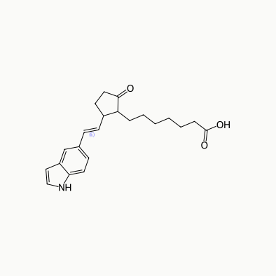 O=C(O)CCCCCCC1C(=O)CCC1/C=C/c1ccc2[nH]ccc2c1